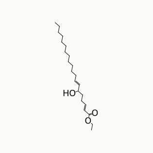 CCCCCCCCCCCCC=CC(O)CCC=CC(=O)OCC